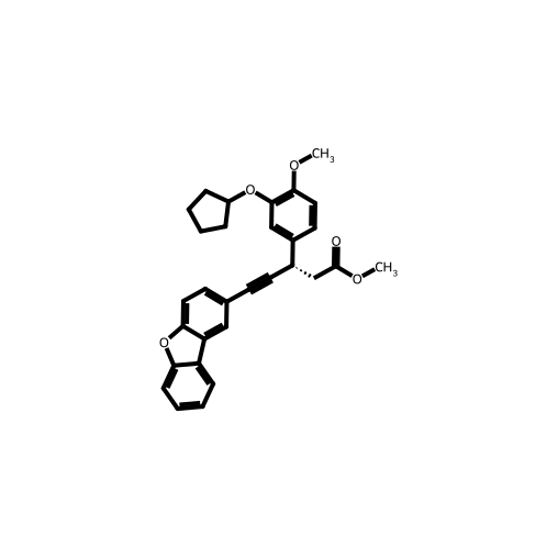 COC(=O)C[C@H](C#Cc1ccc2oc3ccccc3c2c1)c1ccc(OC)c(OC2CCCC2)c1